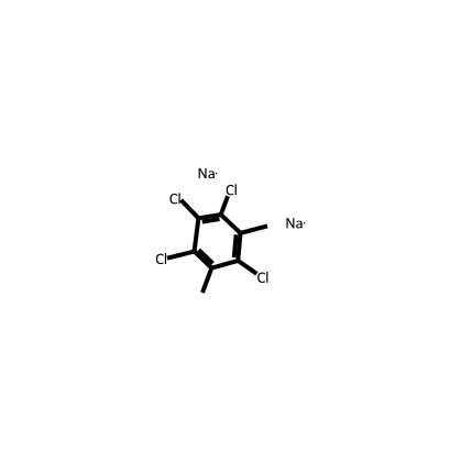 Cc1c(Cl)c(C)c(Cl)c(Cl)c1Cl.[Na].[Na]